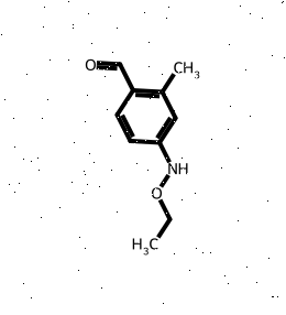 CCONc1ccc(C=O)c(C)c1